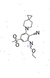 CCO/C=N/c1cc(S(C)(=O)=O)cc(N2CCC3(CC2)CC3)c1C#N